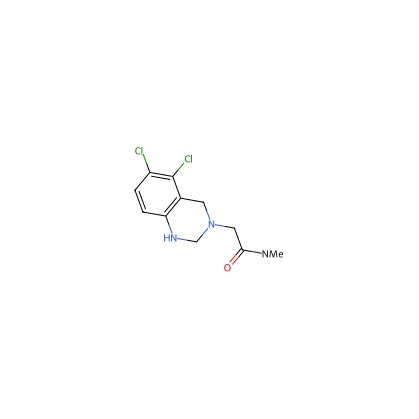 CNC(=O)CN1CNc2ccc(Cl)c(Cl)c2C1